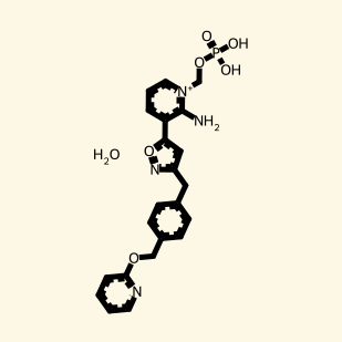 Nc1c(-c2cc(Cc3ccc(COc4ccccn4)cc3)no2)ccc[n+]1COP(=O)(O)O.O